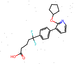 O=C(O)CCCC(F)(F)c1ccc(-c2cccnc2OC2CCCC2)cc1